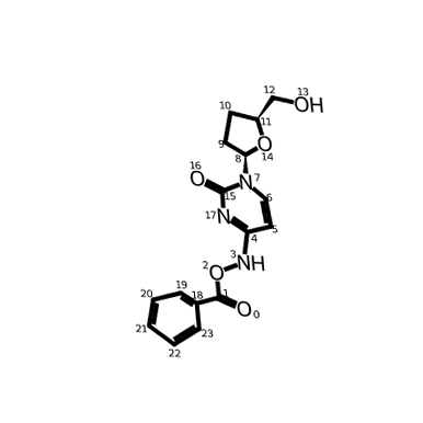 O=C(ONc1ccn([C@H]2CC[C@@H](CO)O2)c(=O)n1)c1ccccc1